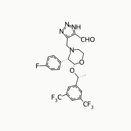 C[C@@H](O[C@H]1OCCN(Cc2nn[nH]c2C=O)[C@H]1c1ccc(F)cc1)c1cc(C(F)(F)F)cc(C(F)(F)F)c1